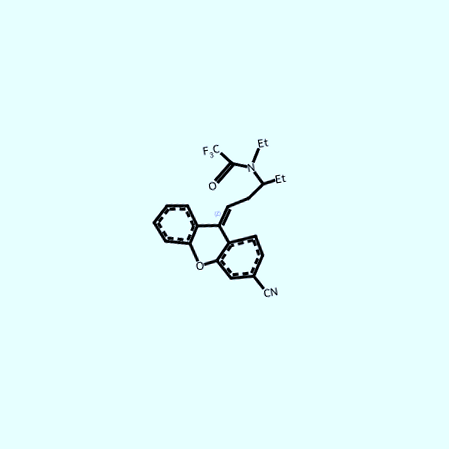 CCC(C/C=C1/c2ccccc2Oc2cc(C#N)ccc21)N(CC)C(=O)C(F)(F)F